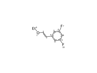 CCO/C=C/c1cc(F)cc(F)c1